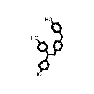 Oc1ccc(Cc2ccc(CC(c3ccc(O)cc3)c3ccc(O)cc3)cc2)cc1